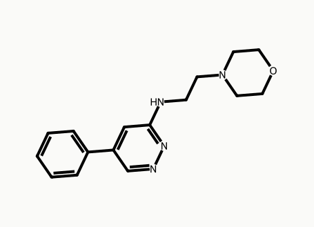 c1ccc(-c2cnnc(NCCN3CCOCC3)c2)cc1